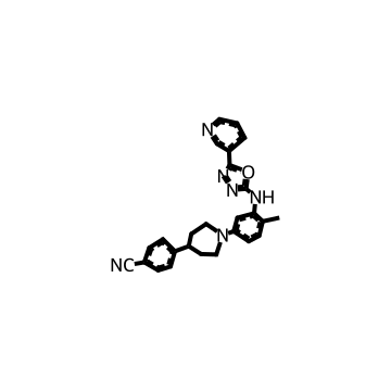 Cc1ccc(N2CCC(c3ccc(C#N)cc3)CC2)cc1Nc1nnc(-c2cccnc2)o1